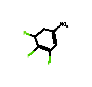 O=[N+]([O-])C1=CC(F)=C(F)C(F)C1